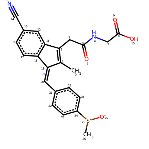 CC1=C(CC(=O)NCC(=O)O)c2cc(C#N)ccc2/C1=C/c1ccc([S+](C)[O-])cc1